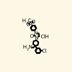 CS(=O)(=O)c1ccc(N2CCN(C3CCC(CN)(c4cccc(Cl)c4)CC3)C2=O)cc1.Cl